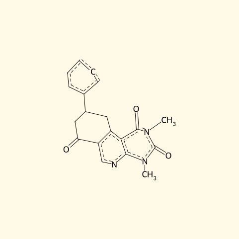 Cn1c(=O)c2c3c(cnc2n(C)c1=O)C(=O)CC(c1ccccc1)C3